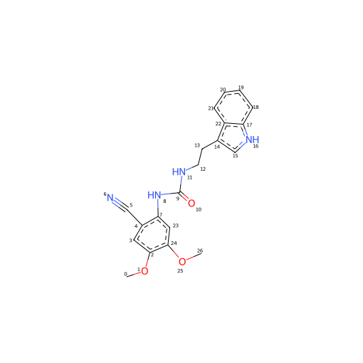 COc1cc(C#N)c(NC(=O)NCCc2c[nH]c3ccccc23)cc1OC